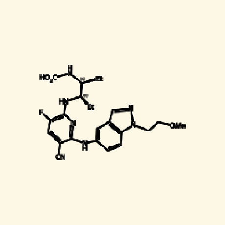 CC[C@H](NC(=O)O)[C@@H](CC)Nc1nc(Nc2ccc3c(cnn3CCOC)c2)c(C#N)cc1F